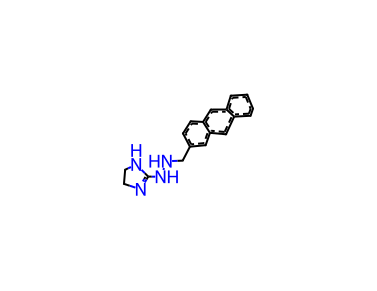 c1ccc2cc3cc(CNNC4=NCCN4)ccc3cc2c1